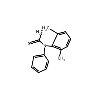 CC(=S)N(c1ccccc1)c1c(C)cccc1C